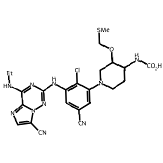 CCNc1nc(Nc2cc(C#N)cc(N3CCC(NC(=O)O)C(OCSC)C3)c2Cl)nn2c(C#N)cnc12